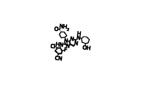 N#Cc1cc(F)c(Nc2nc3cnc(N[C@H]4CCCC[C@@H](O)C4)nc3n2[C@H]2CC[C@@H](C(N)=O)CC2)c(Cl)c1